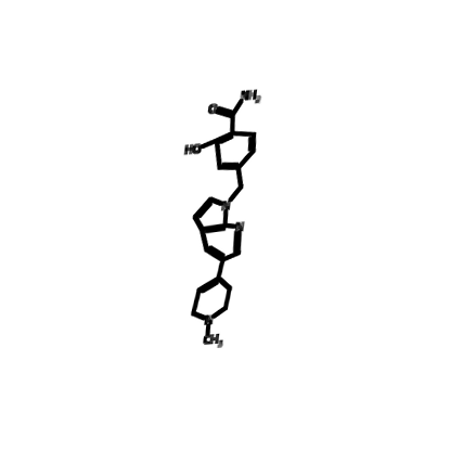 CN1CC=C(c2cnc3c(ccn3Cc3ccc(C(N)=O)c(O)c3)c2)CC1